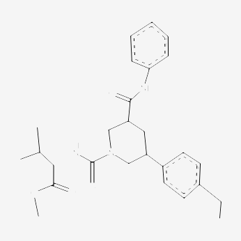 CCc1ccc(C2CC(C(=O)Nc3ccccc3)CN(C(=O)N[C@H](C(=O)OC)C(C)C)C2)cc1